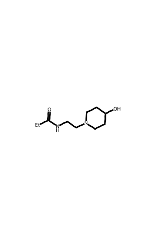 CCC(=O)NCCN1CCC(O)CC1